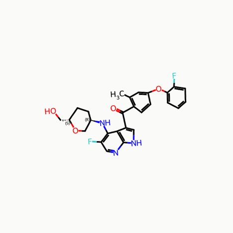 Cc1cc(Oc2ccccc2F)ccc1C(=O)c1c[nH]c2ncc(F)c(N[C@@H]3CC[C@@H](CO)OC3)c12